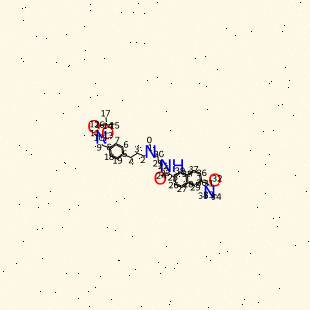 CN(CCCc1ccc(CN(C=O)OC(C)(C)C)cc1)CCNC(=O)c1ccc2cc(C(=O)N(C)C)ccc2c1